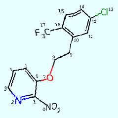 O=[N+]([O-])c1ncccc1OCCc1cc(Cl)ccc1C(F)(F)F